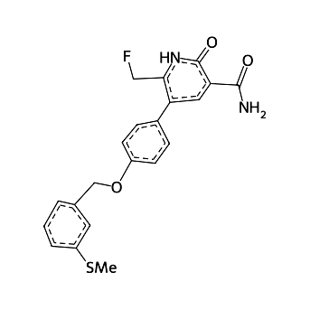 CSc1cccc(COc2ccc(-c3cc(C(N)=O)c(=O)[nH]c3CF)cc2)c1